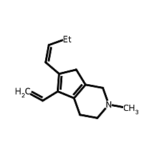 C=CC1=C(/C=C\CC)CC2=C1CCN(C)C2